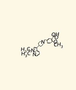 COc1ccc(CN2CCC(c3cn(C(C)C)c4ncccc34)CC2)cc1C(=O)O